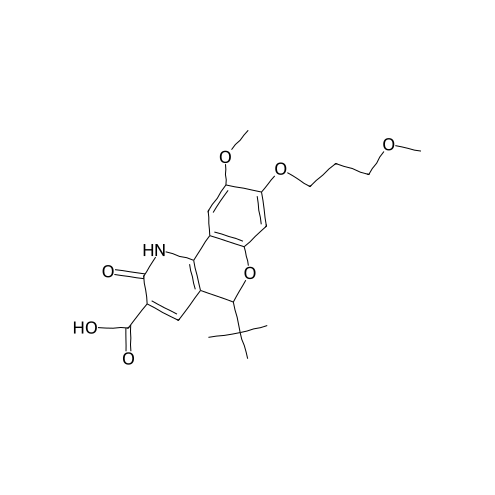 COCCCOc1cc2c(cc1OC)-c1[nH]c(=O)c(C(=O)O)cc1C(C(C)(C)C)O2